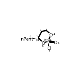 CCCCC[C@@H]1CCO[P@@](=O)(Cl)O1